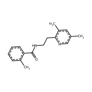 Cc1cnc(CCNC(=O)c2ccccc2C)c(C)c1